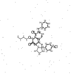 CCCCOc1c2n(c(CC3(c4ccc(Cl)cc4)CCCC3)nc1=O)CCN(Cc1ccccc1)C2=O